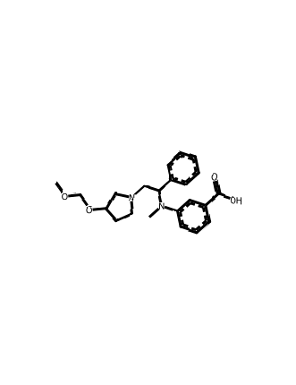 COCOC1CCN(CC(c2ccccc2)N(C)c2cccc(C(=O)O)c2)C1